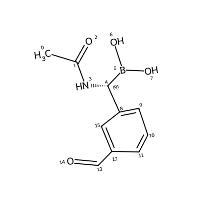 CC(=O)N[C@H](B(O)O)c1cccc(C=O)c1